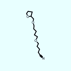 N#CCCCCOCCCCCOCC1CCCO1